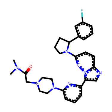 CN(C)C(=O)CN1CCN(c2cccc(-c3cnc4ccc(N5CCCC5c5cccc(F)c5)nn34)n2)CC1